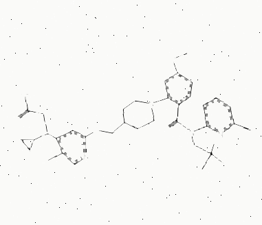 COc1ccc(C(=O)N(CC(C)(C)C)c2cccc(C)n2)c(N2CCC(COc3cc(C(CC(=O)O)C4CC4)c(F)cn3)CC2)c1